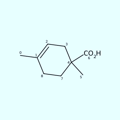 CC1=CCC(C)(C(=O)O)CC1